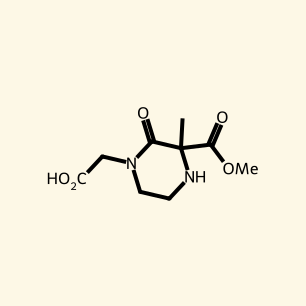 COC(=O)C1(C)NCCN(CC(=O)O)C1=O